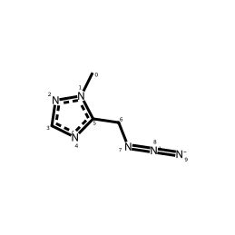 Cn1ncnc1CN=[N+]=[N-]